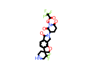 O=C1CCC(N2Cc3c(ccc4c3OCC43CCNCC3(F)F)C2=O)C(=O)N1OC(=O)C(F)(F)F